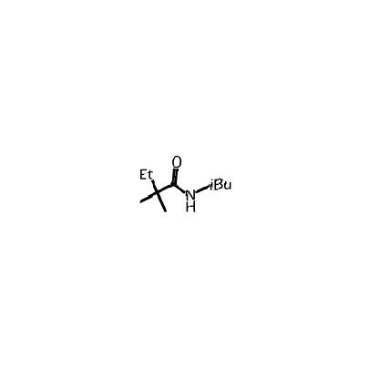 CCC(C)NC(=O)C(C)(C)CC